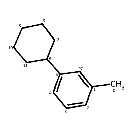 Cc1cccc(C2CCCCC2)c1